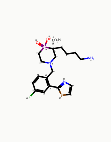 NCCCC[C@@]1(C(=O)O)CN(Cc2ccc(F)cc2-c2nccs2)CCP1(=O)O